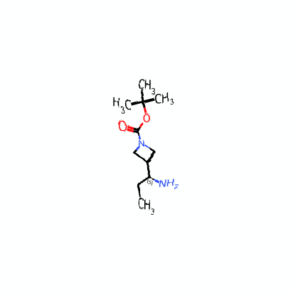 CC[C@H](N)C1CN(C(=O)OC(C)(C)C)C1